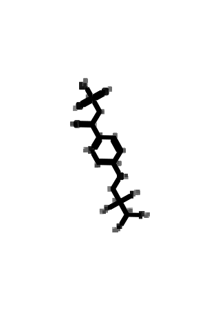 CCS(=O)(=O)CC(=O)c1ccc(OCC(F)(F)C(F)F)cn1